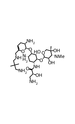 CN[C@@H]1[C@@H](O)[C@@H](O[C@@H]2[C@@H](O)[C@H](O[C@H]3OC(CNCC(C)(C)CN)=CC[C@H]3N)[C@@H](N)C[C@H]2NC(=O)[C@@H](O)CN)OC[C@]1(C)O